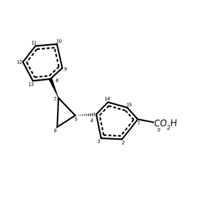 O=C(O)c1ccc([C@@H]2C[C@H]2c2ccccc2)cc1